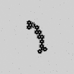 c1ccc(-n2c3ccccc3c3cc(-c4ccc(-c5cccc6c(-c7cccc8c(-c9cccc(-c%10cnc%11c%12ccccc%12c%12ccccc%12c%11n%10)c9)cccc78)cccc56)cc4)ccc32)cc1